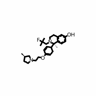 C[C@@H]1CCN(CCOC2=CCC([C@]3(C)c4ccc(O)cc4CCN3CC(C)(C)F)C=C2)C1